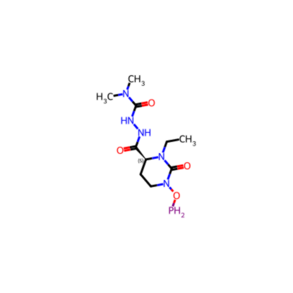 CCN1C(=O)N(OP)CC[C@H]1C(=O)NNC(=O)N(C)C